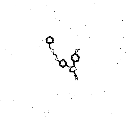 COc1ccc(C2=NC(C#N)CN2c2ccc(OCCOCc3ccccc3)cc2)cc1